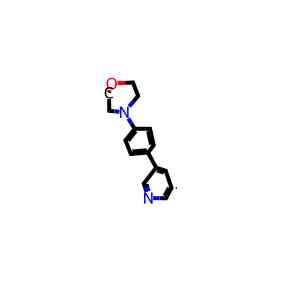 [c]1cncc(-c2ccc(N3CCOCC3)cc2)c1